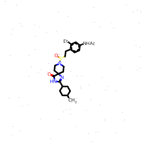 CCc1cc(NC(C)=O)ccc1CC[S+]([O-])N1CCC2(CC1)N=C(C1CCC(C)CC1)NC2=O